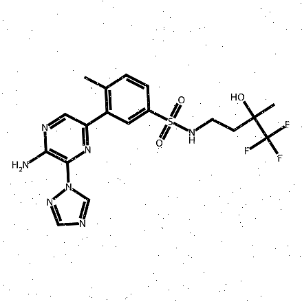 Cc1ccc(S(=O)(=O)NCCC(C)(O)C(F)(F)F)cc1-c1cnc(N)c(-n2cncn2)n1